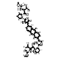 COC(=O)NC(C(=O)N1CCC[C@H]1c1ncc(-c2ccc3cc4cc(-c5cnc([C@@H]6CCCN6C(=O)[C@@H](NC(=O)OC)C(C)C)[nH]5)ccc4cc3c2)[nH]1)C(C)C